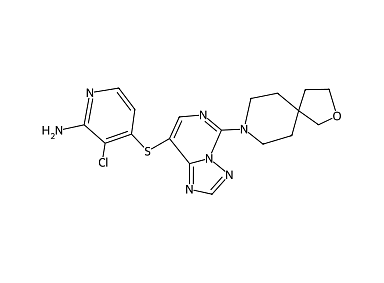 Nc1nccc(Sc2cnc(N3CCC4(CCOC4)CC3)n3ncnc23)c1Cl